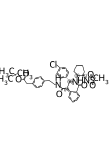 CC(C)(C)OC(=O)Cc1ccc(CCNC(=O)[C@@H]2c3ccccc3C(=O)N([C@H]3CCCC[C@@H]3NS(C)(=O)=O)[C@H]2c2ccc(Cl)cc2)cc1